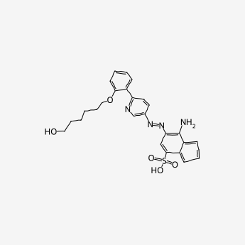 Nc1c(N=Nc2ccc(-c3ccccc3OCCCCCCO)nc2)cc(S(=O)(=O)O)c2ccccc12